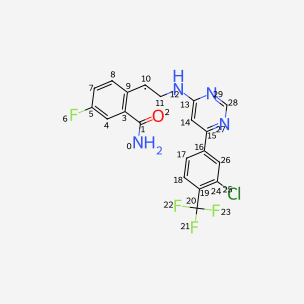 NC(=O)c1cc(F)ccc1[CH]CNc1cc(-c2ccc(C(F)(F)F)c(Cl)c2)ncn1